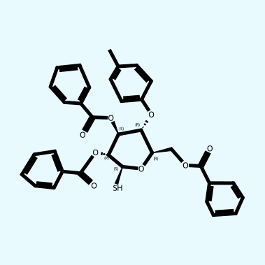 Cc1ccc(O[C@H]2[C@H](OC(=O)c3ccccc3)[C@@H](OC(=O)c3ccccc3)[C@H](S)O[C@@H]2COC(=O)c2ccccc2)cc1